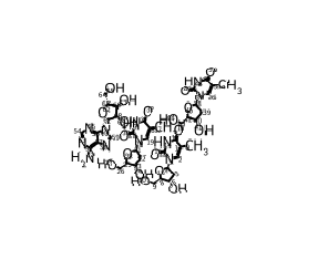 Cc1cn([C@H]2C[C@H](O)[C@@H](CO)O2)c(=O)[nH]c1=O.Cc1cn([C@H]2C[C@H](O)[C@@H](CO)O2)c(=O)[nH]c1=O.Cc1cn([C@H]2C[C@H](O)[C@@H](CO)O2)c(=O)[nH]c1=O.Nc1ncnc2c1ncn2[C@@H]1O[C@H](CO)[C@@H](O)[C@H]1O